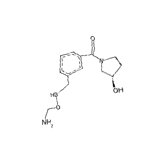 NCOBCc1cccc(C(=O)N2CC[C@@H](O)C2)c1